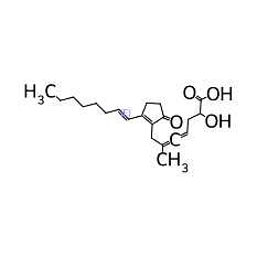 CCCCCC/C=C/C1=C(CC(C)=C=CCC(O)C(=O)O)C(=O)CC1